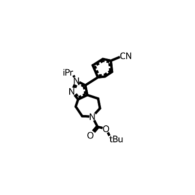 CC(C)n1nc2c(c1-c1ccc(C#N)cc1)CCN(C(=O)OC(C)(C)C)CC2